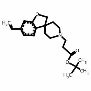 C=Cc1ccc2c(c1)OCC21CCN(CCC(=O)OC(C)(C)C)CC1